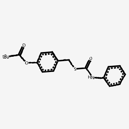 CC(C)(C)C(=O)Oc1ccc(CSC(=O)Nc2ccccc2)cc1